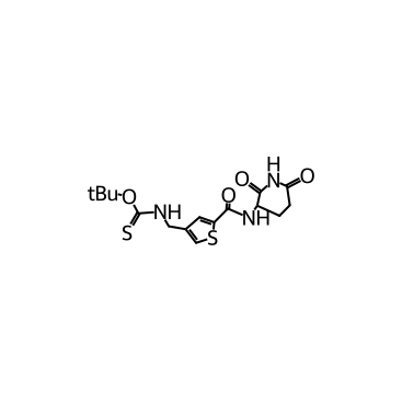 CC(C)(C)OC(=S)NCc1csc(C(=O)NC2CCC(=O)NC2=O)c1